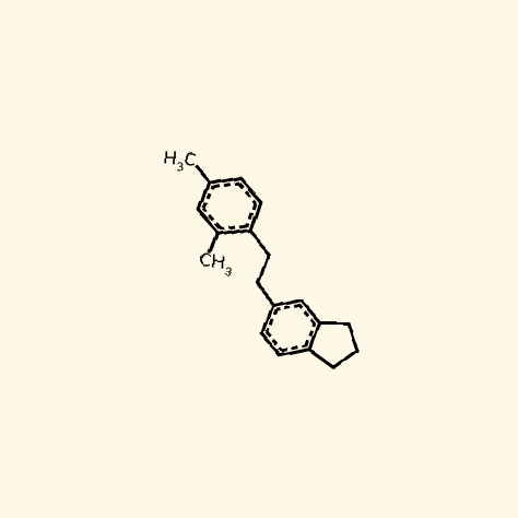 Cc1ccc(CCc2ccc3c(c2)CCC3)c(C)c1